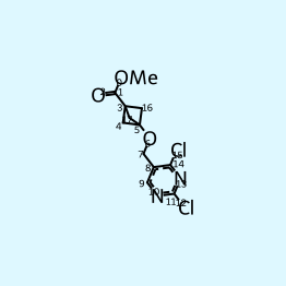 COC(=O)C12CC(OCc3cnc(Cl)nc3Cl)(C1)C2